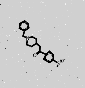 C[S+]([O-])c1ccc(C(=O)CC2CCN(Cc3ccccc3)CC2)cc1